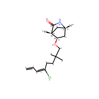 C=C/C=C(/Cl)CCC(C)(C)CO[C@@H]1C[C@@H]2C[C@H]1C(=O)N2